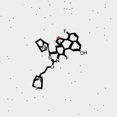 Oc1cc(-c2c(Cl)cc3c(N4CC5CCC(C4)N5)nc(OCCCN4C5CCC4CSC5)nc3c2F)c2c(C34CC(C3)C4)c(F)ccc2c1